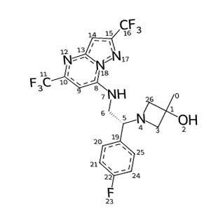 CC1(O)CN([C@@H](CNc2cc(C(F)(F)F)nc3cc(C(F)(F)F)nn23)c2ccc(F)cc2)C1